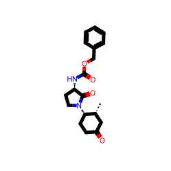 C[C@@H]1CC(=O)CC[C@@H]1N1CC[C@H](NC(=O)OCc2ccccc2)C1=O